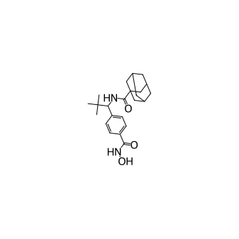 CC(C)(C)C(NC(=O)C12CC3CC(CC(C3)C1)C2)c1ccc(C(=O)NO)cc1